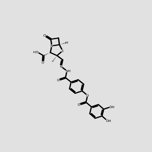 C[C@@]1(/C=N/NC(=O)c2ccc(OC(=O)c3ccc(O)c(O)c3)cc2)S[C@@H]2CC(=O)N2[C@H]1C(=O)O